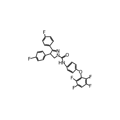 O=C(Nc1ccc(Oc2c(F)c(F)cc(F)c2F)cc1)N1CC(c2ccc(F)cc2)C(c2ccc(F)cc2)=N1